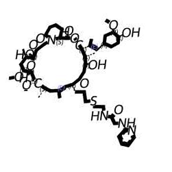 CO[C@H]1C[C@@H](C)C/C(C)=C/[C@@H](CCCSCCNC(=O)CNc2ccccn2)C(=O)C[C@H](O)[C@@H](C)[C@@H](/C(C)=C/[C@@H]2CC[C@@H](O)[C@H](OC)C2)COC(=O)[C@@H]2CCCCN2C(=O)C(=O)[C@]2(O)O[C@H]1[C@@H](OC)C[C@H]2C